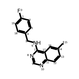 Fc1ccc(CNc2ncnc3ccc(I)cc23)cc1